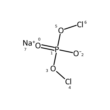 O=P([O-])(OCl)OCl.[Na+]